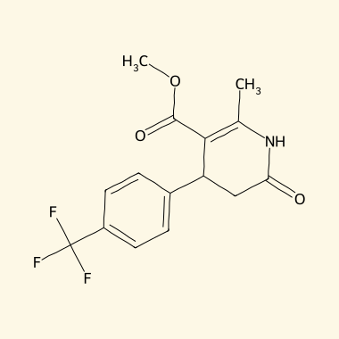 COC(=O)C1=C(C)NC(=O)CC1c1ccc(C(F)(F)F)cc1